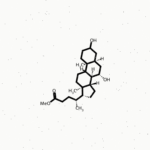 COC(=O)CC[C@@H](C)[C@H]1CC[C@H]2[C@@H]3[C@@H](O)C[C@@H]4CC(O)CC[C@]4(C)[C@H]3CC[C@]12C